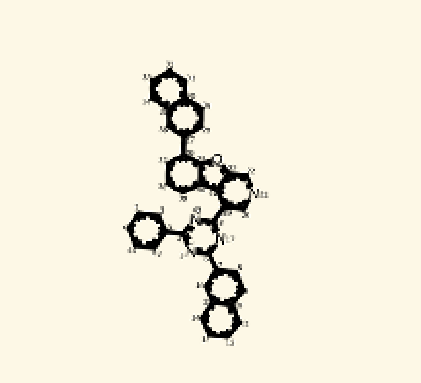 c1ccc(-c2nc(-c3ccc4ccccc4c3)nc(-c3cncc4oc5c(-c6ccc7ccccc7c6)cccc5c34)n2)cc1